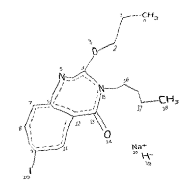 CCCOc1nc2ccc(I)cc2c(=O)n1CCC.[H-].[Na+]